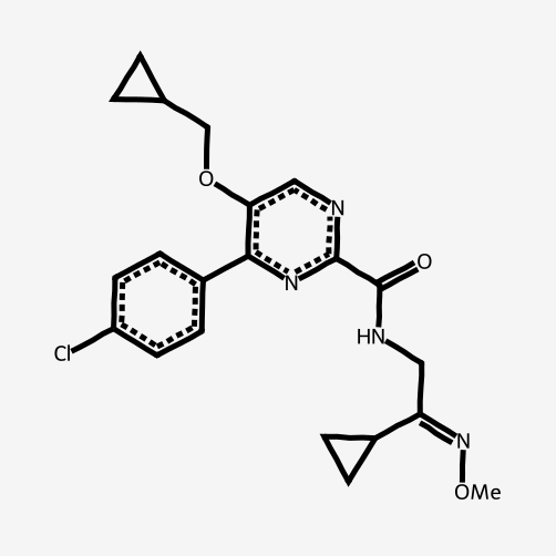 CO/N=C(/CNC(=O)c1ncc(OCC2CC2)c(-c2ccc(Cl)cc2)n1)C1CC1